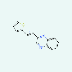 [c]1nc2ccccc2nc1/C=C/c1cccs1